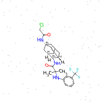 CC(C)(Nc1cccc(C(F)(F)F)c1)C(=O)N[C@H]1[C@@H]2CC3C[C@H]1C[C@](NC(=O)CCl)(C3)C2